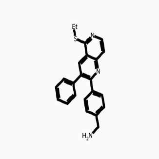 CCSc1nccc2nc(-c3ccc(CN)cc3)c(-c3ccccc3)cc12